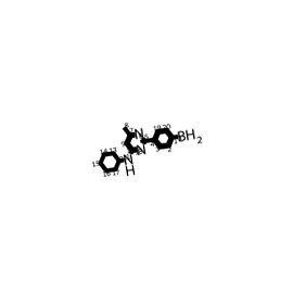 Bc1ccc(-c2nc(C)cc(NC3CCCCC3)n2)cc1